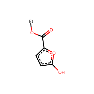 CCOC(=O)c1ccc(O)o1